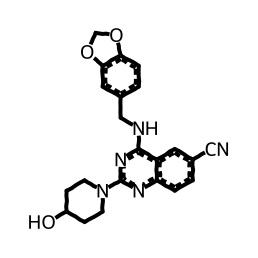 N#Cc1ccc2nc(N3CCC(O)CC3)nc(NCc3ccc4c(c3)OCO4)c2c1